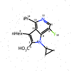 CCCCCCc1c(C(=O)O)n(C2CC2)c2c(F)cnc(C(C)C)c12